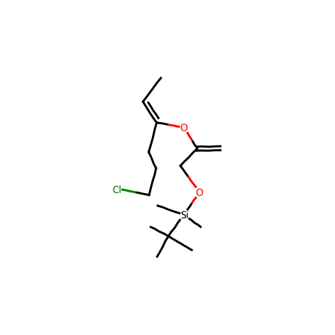 C=C(CO[Si](C)(C)C(C)(C)C)O/C(=C\C)CCCCl